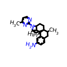 CCCC12c3cc(N)ccc3CC(C)C13CCC1C2[C@H](C3)N1c1nccc(C)n1